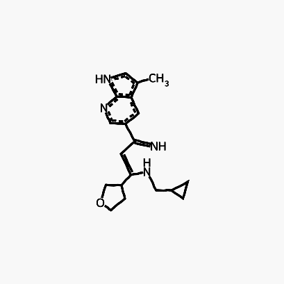 Cc1c[nH]c2ncc(C(=N)/C=C(\NCC3CC3)C3CCOC3)cc12